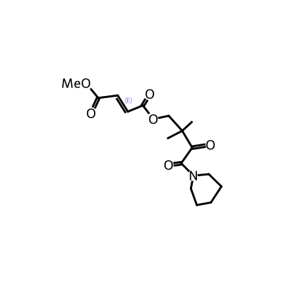 COC(=O)/C=C/C(=O)OCC(C)(C)C(=O)C(=O)N1CCCCC1